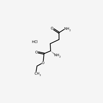 CCOC(=O)[C@@H](N)CCC(N)=O.Cl